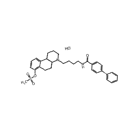 CS(=O)(=O)Oc1cccc2c1CCC1C2CCCN1CCCCNC(=O)c1ccc(-c2ccccc2)cc1.Cl